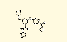 O=C(Nc1ccon1)c1cc(Oc2ccc(C(=O)N3CCC3)nc2)cc(O[C@H]2CCOC2)c1